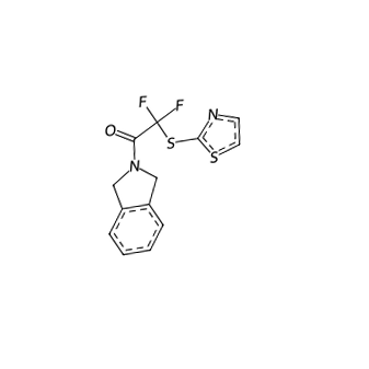 O=C(N1Cc2ccccc2C1)C(F)(F)Sc1nccs1